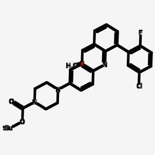 C=N/C=C1/C=CC=C(c2cc(Cl)ccc2F)/C1=N/c1ccc(N2CCN(C(=O)OC(C)(C)C)CC2)cc1